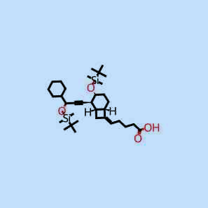 CC(C)(C)[Si](C)(C)OC(C#C[C@@H]1[C@H]2C/C(=C/CCCC(=O)O)[C@H]2CC[C@H]1O[Si](C)(C)C(C)(C)C)C1CCCCC1